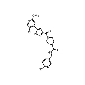 COc1cc(-c2cc(C(=O)N3CCC(C(=O)NCc4ccc(C#N)nc4)CC3)n[nH]2)c(Cl)cn1